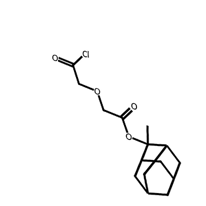 CC1(OC(=O)COCC(=O)Cl)C2CC3CC(C2)CC1C3